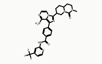 CN1CCC2CCC(c3nc(-c4ccc(C(=O)Nc5cc(C(F)(F)F)ccn5)cc4)c4c(N)nccn34)CN2C1=O